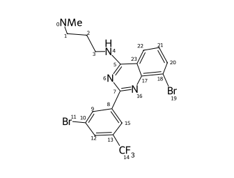 CNCCCNc1nc(-c2cc(Br)cc(C(F)(F)F)c2)nc2c(Br)cccc12